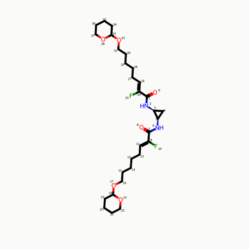 O=C(N[C@H]1C[C@H]1NC(=O)/C(F)=C/CCCCCOC1CCCCO1)/C(F)=C/CCCCCOC1CCCCO1